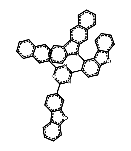 c1ccc2cc(-c3nc(-c4ccc5c(c4)oc4ccccc45)nc(-c4ccc5oc6ccccc6c5c4-n4c5ccccc5c5cc6ccccc6cc54)n3)ccc2c1